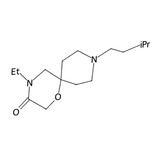 CCN1CC2(CCN(CCC(C)C)CC2)OCC1=O